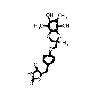 Cc1c(C)c2c(c(C)c1O)OCC(C)(COc1ccc(CC3SC(=O)NC3=O)cc1)O2